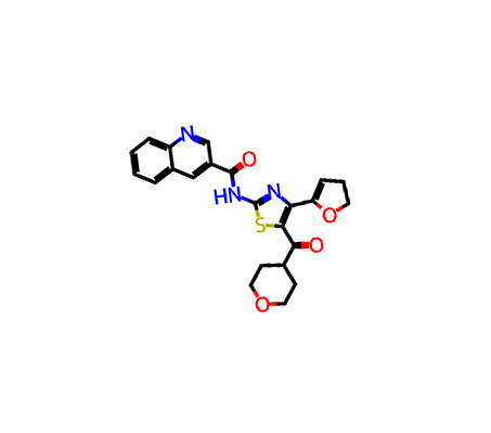 O=C(Nc1nc(C2=CCCO2)c(C(=O)C2CCOCC2)s1)c1cnc2ccccc2c1